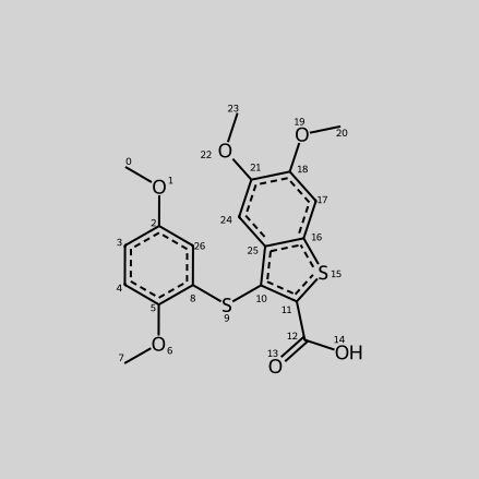 COc1ccc(OC)c(Sc2c(C(=O)O)sc3cc(OC)c(OC)cc23)c1